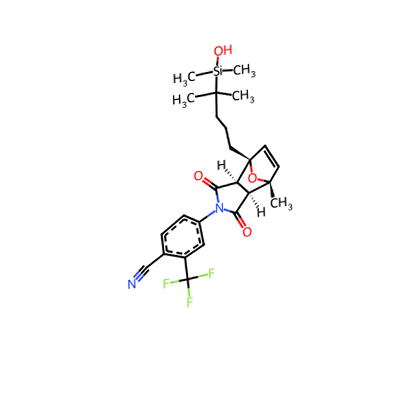 CC(C)(CCC[C@@]12C=C[C@@](C)(O1)[C@H]1C(=O)N(c3ccc(C#N)c(C(F)(F)F)c3)C(=O)[C@H]12)[Si](C)(C)O